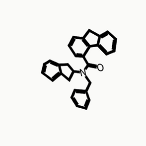 O=C(c1cccc2c1-c1ccccc1C2)N(Cc1ccccc1)C1Cc2ccccc2C1